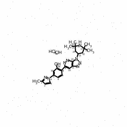 Cc1ccn(-c2ccc(-c3cc4nnn(C5CC(C)(C)NC(C)(C)C5)c4nn3)c(O)c2)n1.Cl.Cl